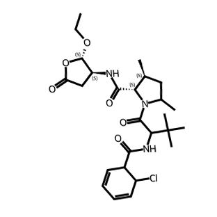 CCO[C@H]1OC(=O)C[C@@H]1NC(=O)[C@@H]1[C@@H](C)CC(C)N1C(=O)C(NC(=O)C1C=CC=CC1Cl)C(C)(C)C